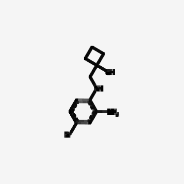 Nc1cc(Br)ccc1NCC1(O)CCC1